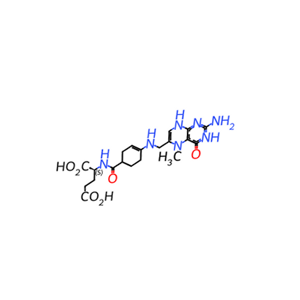 CN1C(CNC2=CCC(C(=O)N[C@@H](CCC(=O)O)C(=O)O)CC2)=CNc2nc(N)[nH]c(=O)c21